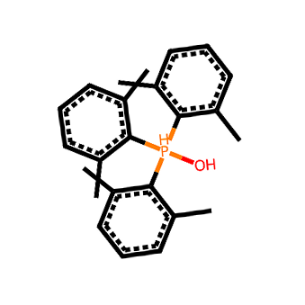 Cc1cccc(C)c1[PH](O)(c1c(C)cccc1C)c1c(C)cccc1C